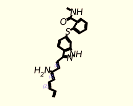 C=C\C=C/C=C(N)/C=C/c1n[nH]c2cc(Sc3ccccc3C(=O)NC)ccc12